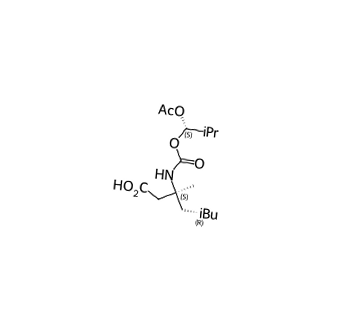 CC[C@@H](C)C[C@@](C)(CC(=O)O)NC(=O)O[C@H](OC(C)=O)C(C)C